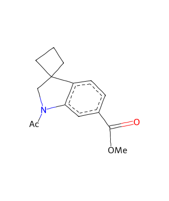 COC(=O)c1ccc2c(c1)N(C(C)=O)CC21CCC1